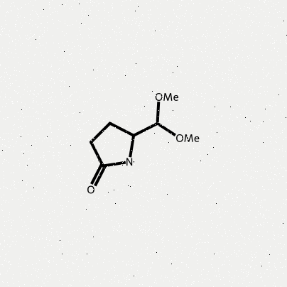 COC(OC)C1CCC(=O)[N]1